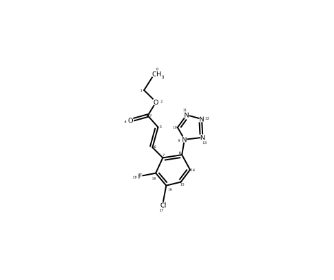 CCOC(=O)/C=C/c1c(-n2cnnn2)ccc(Cl)c1F